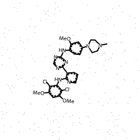 COc1cc(N2CCN(C)CC2)ccc1Nc1ncnc(-c2cccnc2Nc2c(Cl)c(OC)cc(OC)c2Cl)n1